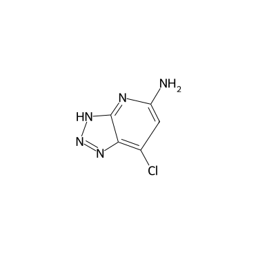 Nc1cc(Cl)c2nn[nH]c2n1